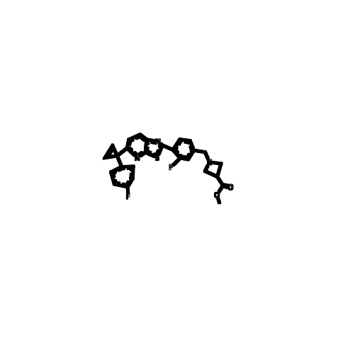 COC(=O)C1CN(Cc2ccc(-c3nc4ccc(C5(c6ccc(F)cc6)C=C5)nc4s3)c(F)c2)C1